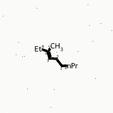 CCCCCC=C(C)CC